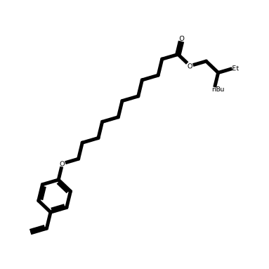 C=Cc1ccc(OCCCCCCCCCCC(=O)OCC(CC)CCCC)cc1